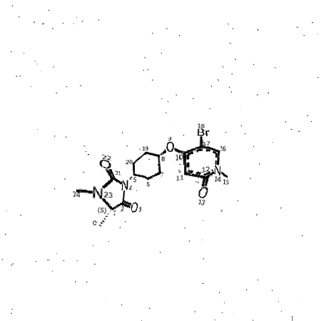 C[C@H]1C(=O)N([C@H]2CC[C@H](Oc3cc(=O)n(C)cc3Br)CC2)C(=O)N1C